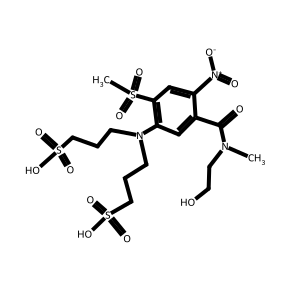 CN(CCO)C(=O)c1cc(N(CCCS(=O)(=O)O)CCCS(=O)(=O)O)c(S(C)(=O)=O)cc1[N+](=O)[O-]